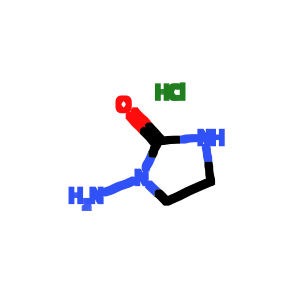 Cl.NN1CCNC1=O